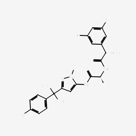 C[C@H](NC(=O)[C@@H](O)c1cc(F)cc(F)c1)C(=O)Nc1cc(C(C)(C)c2ccc([N+](=O)[O-])cc2)nn1C